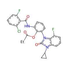 CCC(=O)Oc1c(NC(=O)c2c(F)cccc2Cl)cccc1-n1c(=O)n(C2CC2)c2cccc(F)c21